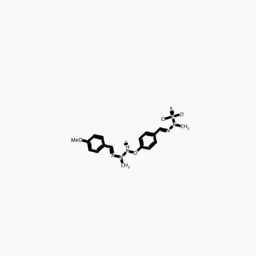 COc1ccc(/C=N/N(C)[PH](=S)Oc2ccc(/C=N/N(C)P(=S)(Cl)Cl)cc2)cc1